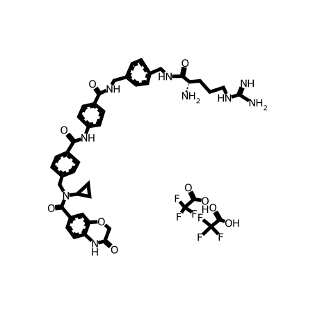 N=C(N)NCCC[C@H](N)C(=O)NCc1ccc(CNC(=O)c2ccc(NC(=O)c3ccc(CN(C(=O)c4ccc5c(c4)OCC(=O)N5)C4CC4)cc3)cc2)cc1.O=C(O)C(F)(F)F.O=C(O)C(F)(F)F